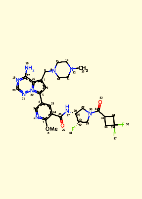 COc1ncc(-c2cc(CN3CCN(C)CC3)c3c(N)ncnn23)cc1C(=O)N[C@@H]1CN(C(=O)C2CC(F)(F)C2)C[C@@H]1F